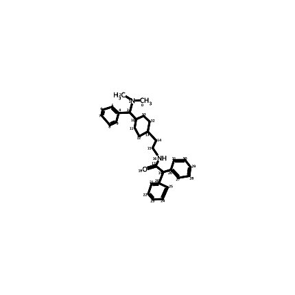 CN(C)C(c1ccccc1)C1CCC(CCNC(=O)C(c2ccccc2)c2ccccc2)CC1